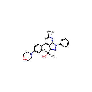 CC(C)(O)c1nn(-c2ccccc2)c2nc(C(=O)O)cc(-c3ccc(N4CCOCC4)cc3)c12